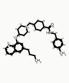 CCCCc1cc(OC2CCN(CC3CCC(C(=O)NCc4ccc(C)cc4)CC3)CC2)c2ncccc2c1